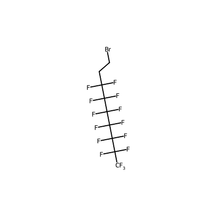 FC(F)(F)C(F)(F)C(F)(F)C(F)(F)C(F)(F)C(F)(F)C(F)(F)CCBr